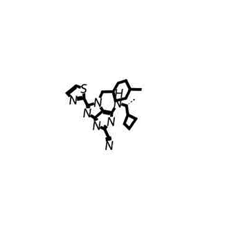 CC1CCC(Cn2c(-c3nccs3)nc3nc(C#N)nc(N[C@H](C)C4CCC4)c32)CC1